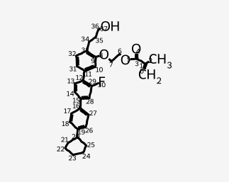 C=C(C)C(=O)OCCOc1cc(-c2ccc(-c3ccc(C4CCCCC4)cc3)cc2F)ccc1CCCO